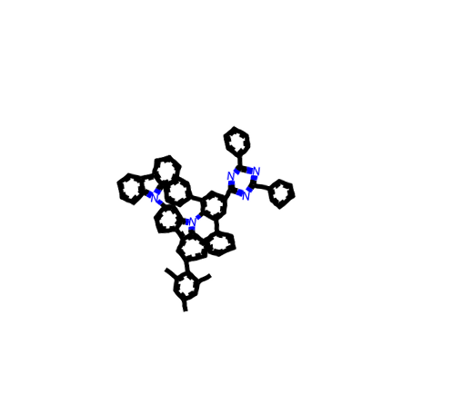 Cc1cc(C)c(-c2ccc3c(c2)c2ccc(-n4c5ccccc5c5ccccc54)cc2n3-c2c(-c3ccccc3)cc(-c3nc(-c4ccccc4)nc(-c4ccccc4)n3)cc2-c2ccccc2)c(C)c1